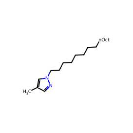 CCCCCCCCCCCCCCCCn1cc(C)cn1